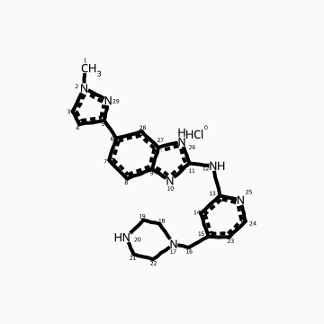 Cl.Cn1ccc(-c2ccc3nc(Nc4cc(CN5CCNCC5)ccn4)[nH]c3c2)n1